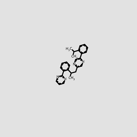 CC(C)c1ccccc1-c1cnc(CC(C)c2ccccc2-c2ncccn2)cn1